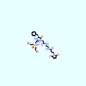 O=C(CCN1C(=O)C=CC1=O)NCCNC(=O)CNC(=O)[C@H](Cc1ccccc1)NC(=O)CNP(=O)(CCBr)CCBr